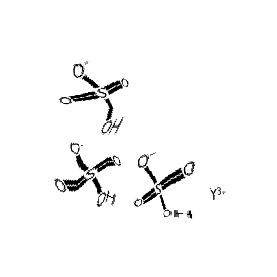 O=S(=O)([O-])O.O=S(=O)([O-])O.O=S(=O)([O-])O.[Y+3]